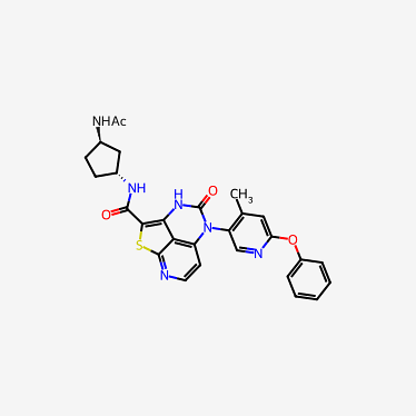 CC(=O)N[C@@H]1CC[C@@H](NC(=O)c2sc3nccc4c3c2NC(=O)N4c2cnc(Oc3ccccc3)cc2C)C1